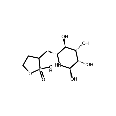 O=P1(O)OCCC1C[C@H]1N[C@H](O)[C@@H](O)[C@@H](O)[C@@H]1O